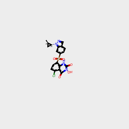 C[C@@H]1C[C@H]1n1ncc2ccc(S(=O)(=O)c3ccc(Cl)c4c(=O)n(O)c(=O)[nH]c34)cc21